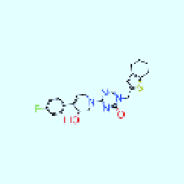 O=c1nc(N2CC=C(c3ccc(F)cc3)C(O)C2)ncn1Cc1cc2c(s1)CCCC2